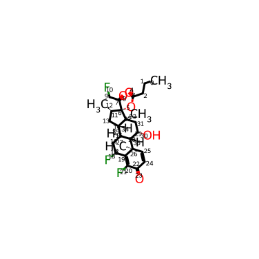 CCCC(=O)O[C@@]1(C(=O)CF)[C@@H](C)C[C@H]2[C@@H]3C[C@H](F)C4=C(F)C(=O)C=C[C@]4(C)[C@H]3[C@@H](O)C[C@@]21C